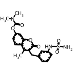 Cc1c(Cc2cccc(NS(N)(=O)=O)c2)c(=O)oc2cc(OC(=O)N(C)C)ccc12